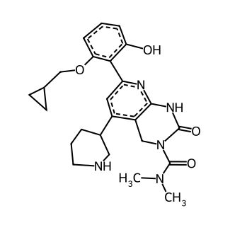 CN(C)C(=O)N1Cc2c(C3CCCNC3)cc(-c3c(O)cccc3OCC3CC3)nc2NC1=O